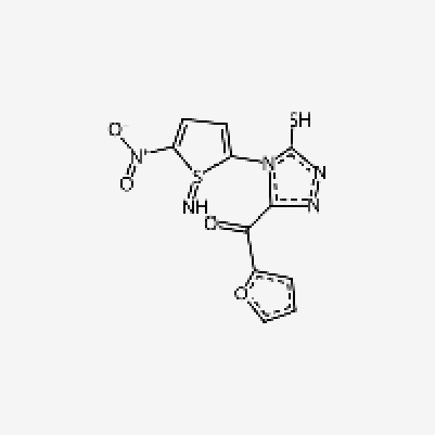 N=S1C(n2c(S)nnc2C(=O)c2ccco2)=CC=C1[N+](=O)[O-]